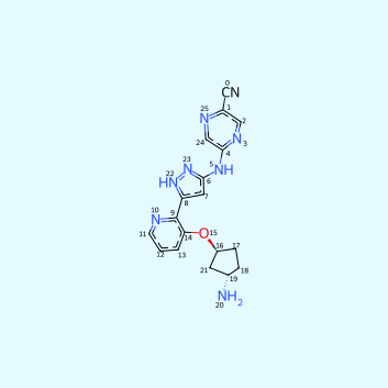 N#Cc1cnc(Nc2cc(-c3ncccc3O[C@H]3CC[C@H](N)C3)[nH]n2)cn1